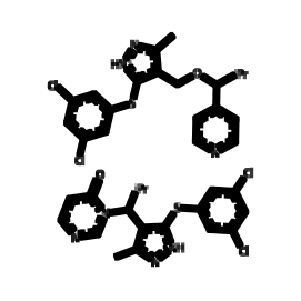 Cc1n[nH]c(Sc2cc(Cl)cc(Cl)c2)c1C(C(C)C)n1cnccc1=O.Cc1n[nH]c(Sc2cc(Cl)cc(Cl)c2)c1COC(c1ccncc1)C(C)C